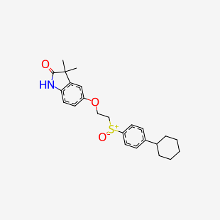 CC1(C)C(=O)Nc2ccc(OCC[S+]([O-])c3ccc(C4CCCCC4)cc3)cc21